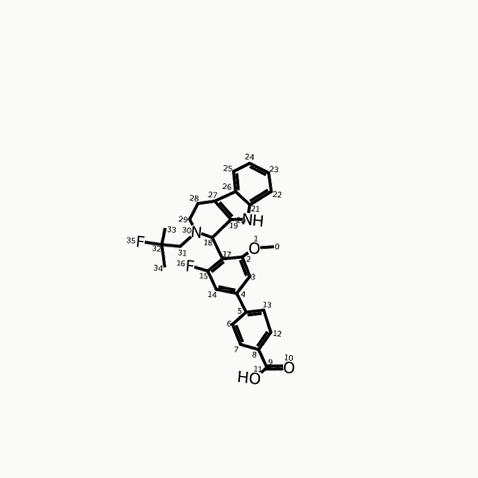 COc1cc(-c2ccc(C(=O)O)cc2)cc(F)c1C1c2[nH]c3ccccc3c2CCN1CC(C)(C)F